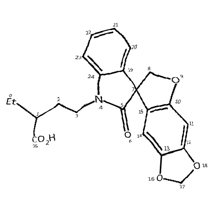 CCC(CCN1C(=O)C2(COc3cc4c(cc32)OCO4)c2ccccc21)C(=O)O